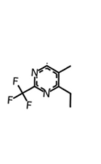 CCc1nc(C(F)(F)F)n[c]c1C